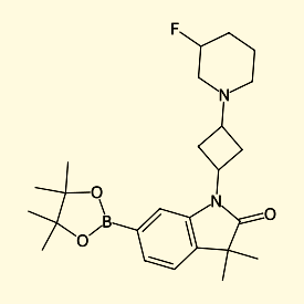 CC1(C)C(=O)N(C2CC(N3CCCC(F)C3)C2)c2cc(B3OC(C)(C)C(C)(C)O3)ccc21